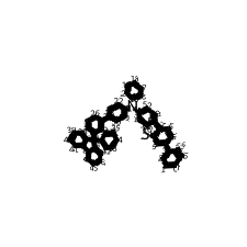 c1ccc(-c2ccc3c(c2)sc2cc(N(c4ccccc4)c4ccc(-c5cccc(C6(c7ccccc7)c7ccccc7-c7ccccc76)c5)cc4)ccc23)cc1